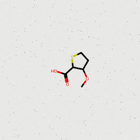 COC1CCSC1C(=O)O